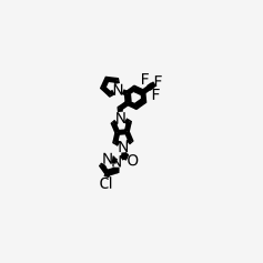 O=C(N1CC2CN(Cc3ccc(C(F)(F)F)cc3N3CCCC3)CC2C1)n1cc(Cl)cn1